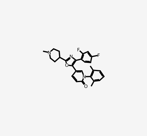 Cc1cccc(C)c1-n1cc(-c2oc(C3CCN(C)CC3)nc2-c2ccc(F)cc2F)ccc1=O